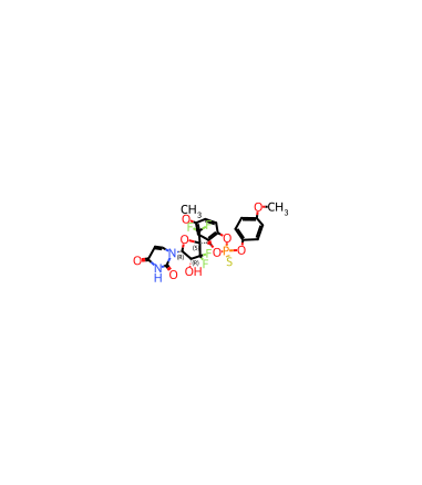 COc1ccc(OP(=S)(OC[C@@]2(C(F)F)O[C@@H](n3ccc(=O)[nH]c3=O)[C@@H](O)C2(F)F)Oc2ccc(OC)cc2)cc1